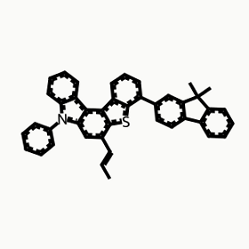 C/C=C/c1cc2c(c3ccccc3n2-c2ccccc2)c2c1sc1c(-c3ccc4c(c3)C(C)(C)c3ccccc3-4)cccc12